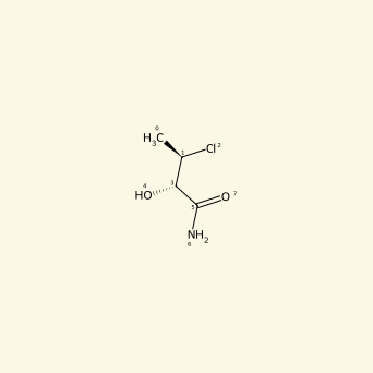 C[C@@H](Cl)[C@@H](O)C(N)=O